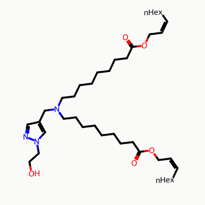 CCCCCC/C=C\COC(=O)CCCCCCCCN(CCCCCCCCC(=O)OC/C=C\CCCCCC)Cc1cnn(CCO)c1